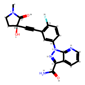 CN1CC[C@@](O)(C#Cc2cc(-n3nc(C(N)=O)c4cccnc43)ccc2F)C1=O